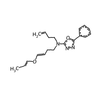 C=CCCN(CC/C=C/O/C=C/C)c1nnc(-c2ccccc2)o1